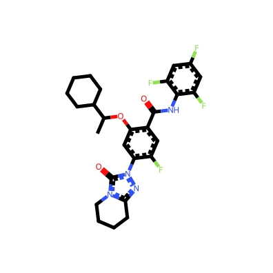 CC(Oc1cc(-n2nc3n(c2=O)CCCC3)c(F)cc1C(=O)Nc1c(F)cc(F)cc1F)C1CCCCC1